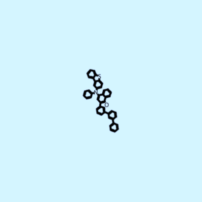 c1ccc(-c2cccc(-c3cccc4c3oc3c5ccccc5c(N(c5ccccc5)c5ccc6sc7ccccc7c6c5)cc43)c2)cc1